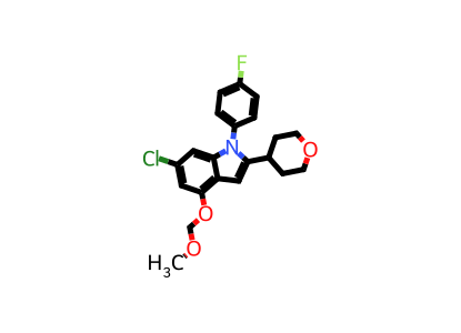 COCOc1cc(Cl)cc2c1cc(C1CCOCC1)n2-c1ccc(F)cc1